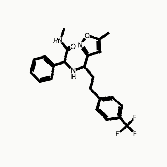 CNC(=O)C(NC(CCc1ccc(C(F)(F)F)cc1)c1cc(C)on1)c1ccccc1